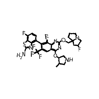 CC1CNCC1Oc1nc(OCC23CCCN2CC(F)C3)nc2c(F)c(-c3ccc(F)c4sc(N)nc34)c(C(F)(F)F)cc12